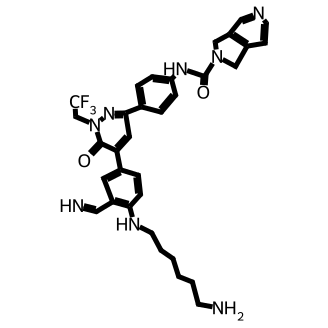 N=Cc1cc(-c2cc(-c3ccc(NC(=O)N4Cc5ccncc5C4)cc3)nn(CC(F)(F)F)c2=O)ccc1NCCCCCCN